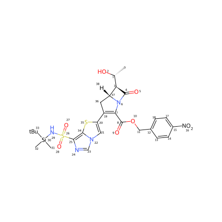 C[C@@H](O)[C@H]1C(=O)N2C(C(=O)OCc3ccc([N+](=O)[O-])cc3)=C(c3cn4cnc(S(=O)(=O)N[Si](C)(C)C(C)(C)C)c4s3)C[C@H]12